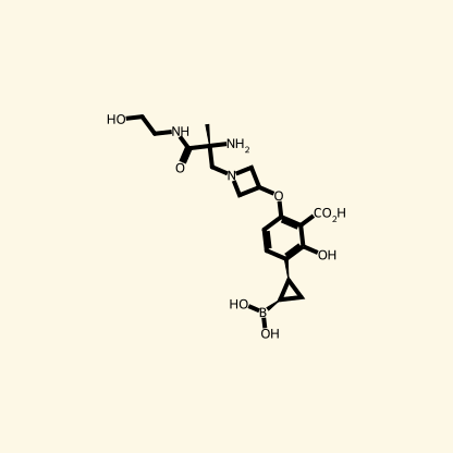 C[C@@](N)(CN1CC(Oc2ccc([C@H]3C[C@H]3B(O)O)c(O)c2C(=O)O)C1)C(=O)NCCO